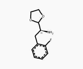 N[C@@H](Cc1ccccc1F)C1OCCO1